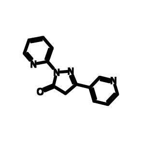 O=C1CC(c2cccnc2)=NN1c1ccccn1